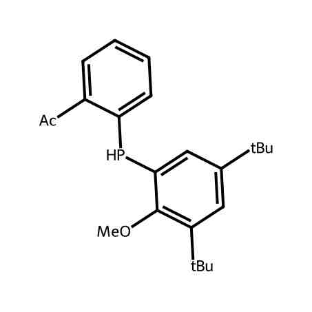 COc1c(Pc2ccccc2C(C)=O)cc(C(C)(C)C)cc1C(C)(C)C